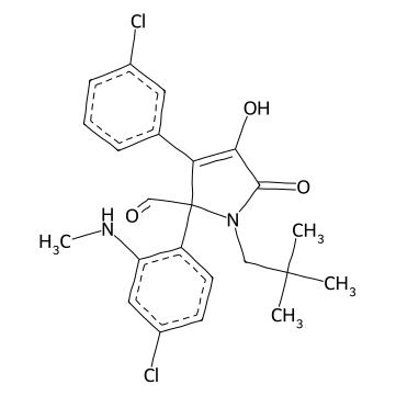 CNc1cc(Cl)ccc1C1(C=O)C(c2cccc(Cl)c2)=C(O)C(=O)N1CC(C)(C)C